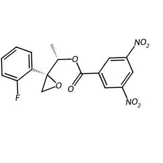 C[C@H](OC(=O)c1cc([N+](=O)[O-])cc([N+](=O)[O-])c1)[C@]1(c2ccccc2F)CO1